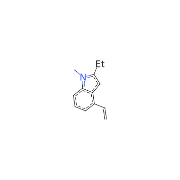 C=Cc1cccc2c1cc(CC)n2C